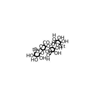 CC[C@H]1O[C@@H](O[C@H]2[C@H](O[C@H]3[C@H](O)[C@@H](OC4O[C@@H](C)[C@H](O)[C@@H](O)[C@H]4O)[C@H](C(C)(C)C)O[C@@H]3C(=O)O)O[C@H](CO)[C@H](O)[C@@H]2O)[C@H](O)[C@@H](O)[C@@H]1O